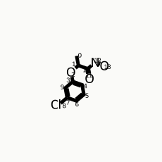 CC(Oc1cccc(Cl)c1)C(=O)N=O